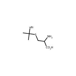 CCCC(C)(C)SCC(N)C(=O)O